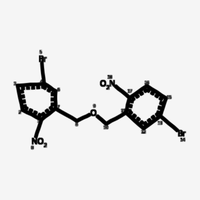 O=[N+]([O-])c1ccc(Br)cc1COCc1cc(Br)ccc1[N+](=O)[O-]